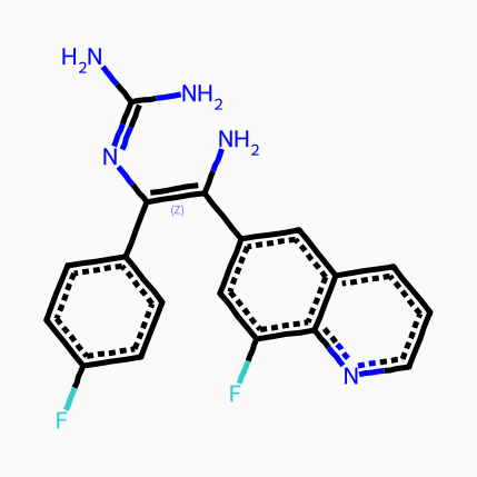 NC(N)=N/C(=C(\N)c1cc(F)c2ncccc2c1)c1ccc(F)cc1